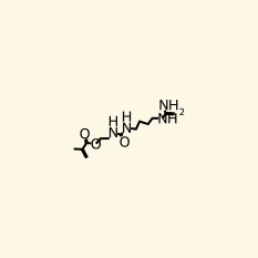 C=C(N)NCCCCNC(=O)NCCOC(=O)C(=C)C